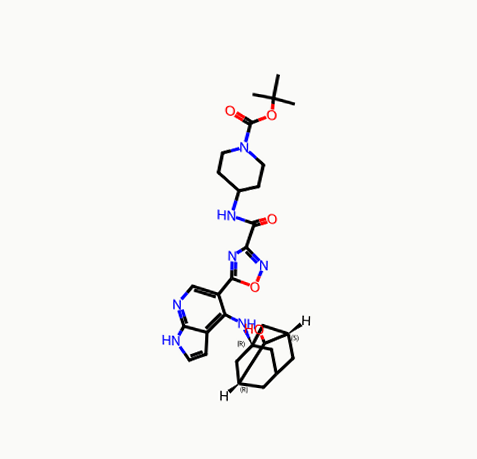 CC(C)(C)OC(=O)N1CCC(NC(=O)c2noc(-c3cnc4[nH]ccc4c3N[C@@]34CC5C[C@H](C3)C(O)[C@@H](C5)C4)n2)CC1